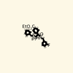 CCOC(=O)c1ccc2c(C(=O)NCc3cccc(F)c3)c(C(C)C)n(Cc3ccccc3)c2c1